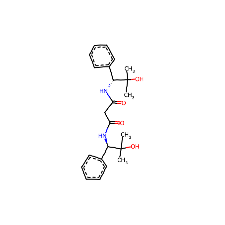 CC(C)(O)[C@H](NC(=O)CC(=O)N[C@H](c1ccccc1)C(C)(C)O)c1ccccc1